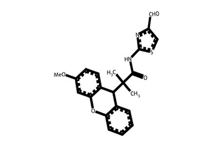 COc1ccc2c(c1)Oc1ccccc1C2C(C)(C)C(=O)Nc1nc(C=O)cs1